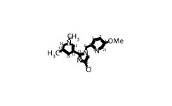 COc1ccc(Cn2cc(Cl)nc2C2=CN(C)CC(C)=C2)nc1